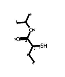 CCC(S)C(=O)OC(C)C